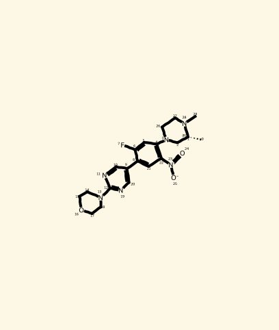 C[C@@H]1CN(c2cc(F)c(-c3cnc(N4CCOCC4)nc3)cc2[N+](=O)[O-])CCN1C